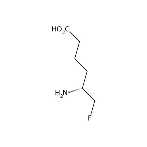 N[C@@H](CF)CCCC(=O)O